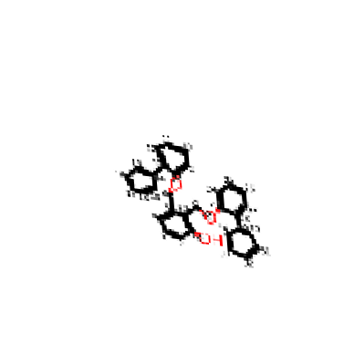 Oc1cccc(COc2ccccc2-c2ccccc2)c1COc1ccccc1-c1ccccc1